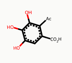 CC(=O)c1c(C(=O)O)cc(O)c(O)c1O